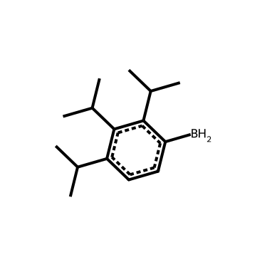 Bc1ccc(C(C)C)c(C(C)C)c1C(C)C